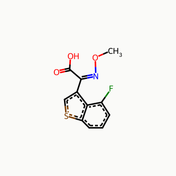 CON=C(C(=O)O)c1csc2cccc(F)c12